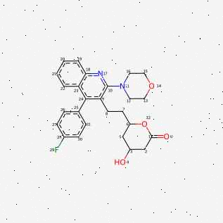 O=C1CC(O)CC(CCc2c(N3CCOCC3)nc3ccccc3c2-c2ccc(F)cc2)O1